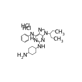 CCC(CC)n1cnc2c(Nc3ccccc3)nc(NC3CCC(N)CC3)nc21.Cl.Cl